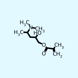 C=C(C)C(=O)OCC(O)CC(C)N(C)C